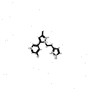 Cc1cc(-c2cncc(F)c2)n(CCc2cc[nH]n2)n1